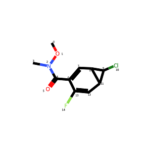 CON(C)C(=O)C1=CC2C(Cl)C2C=C1F